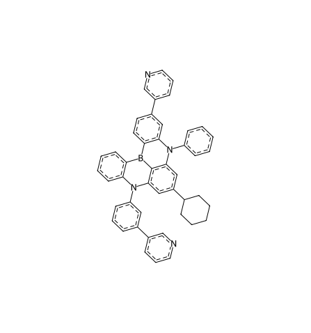 c1ccc(N2c3cc(-c4cccnc4)ccc3B3c4ccccc4N(c4cccc(-c5cccnc5)c4)c4cc(C5CCCCC5)cc2c43)cc1